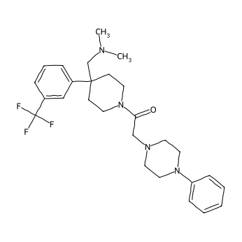 CN(C)CC1(c2cccc(C(F)(F)F)c2)CCN(C(=O)CN2CCN(c3ccccc3)CC2)CC1